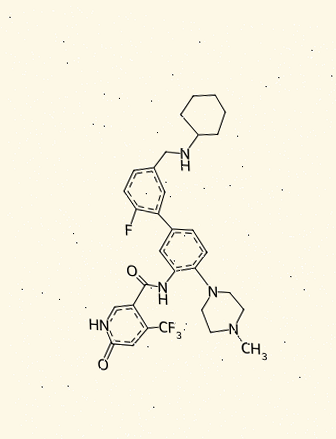 CN1CCN(c2ccc(-c3cc(CNC4CCCCC4)ccc3F)cc2NC(=O)c2c[nH]c(=O)cc2C(F)(F)F)CC1